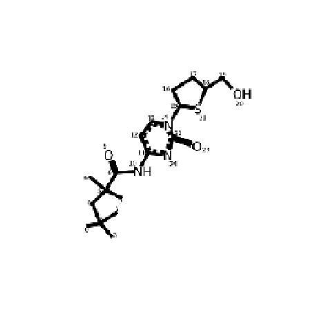 CC(C)(C)CC(C)(C)C(=O)Nc1ccn(C2CCC(CO)S2)c(=O)n1